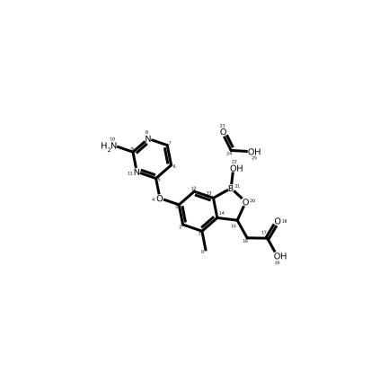 Cc1cc(Oc2ccnc(N)n2)cc2c1C(CC(=O)O)OB2O.O=CO